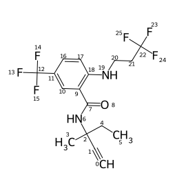 C#CC(C)(CC)NC(=O)c1cc(C(F)(F)F)ccc1NCCC(F)(F)F